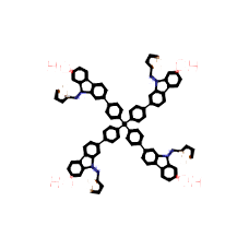 Oc1ccc2c(c1)/C(=C\c1cccs1)c1cc(-c3ccc(C(c4ccc(-c5ccc6c(c5)/C(=C/c5cccs5)c5cc(O)ccc5-6)cc4)(c4ccc(-c5ccc6c(c5)/C(=C/c5cccs5)c5cc(O)ccc5-6)cc4)c4ccc(-c5ccc6c(c5)/C(=C/c5cccs5)c5cc(O)ccc5-6)cc4)cc3)ccc1-2